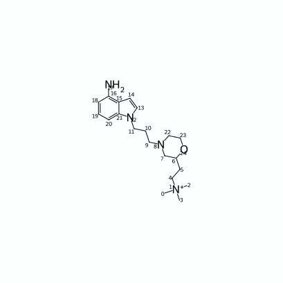 C[N+](C)(C)CCC1CN(CCCn2ccc3c(N)cccc32)CCO1